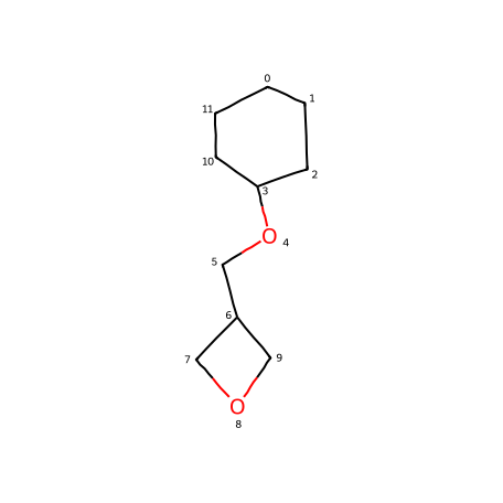 C1CCC(OCC2COC2)CC1